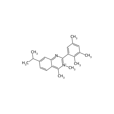 Cc1cc(C)c(C)c(-c2nc3cc(C(C)C)ccc3c(C)[n+]2C)c1